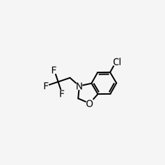 FC(F)(F)CN1COc2ccc(Cl)cc21